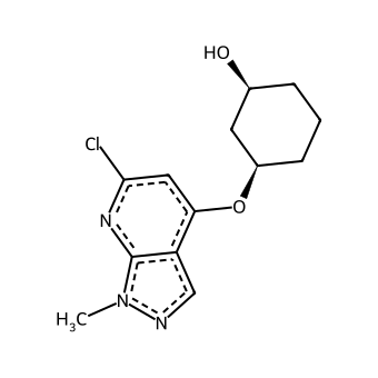 Cn1ncc2c(O[C@@H]3CCC[C@H](O)C3)cc(Cl)nc21